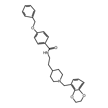 O=C(NCCC1CCN(Cc2cccc3c2OCCO3)CC1)c1ccc(OCc2ccccc2)cc1